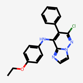 CCOc1ccc(Nc2c(-c3ccccc3)c(Cl)nn3ccnc23)cc1